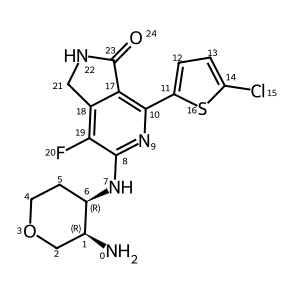 N[C@H]1COCC[C@H]1Nc1nc(-c2ccc(Cl)s2)c2c(c1F)CNC2=O